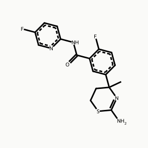 CC1(c2ccc(F)c(C(=O)Nc3ccc(F)cn3)c2)CCSC(N)=N1